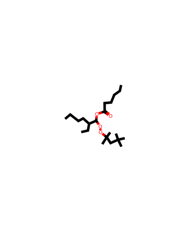 CCCCCC(=O)OC(OOC(C)(C)CC(C)(C)C)C(CC)CCCC